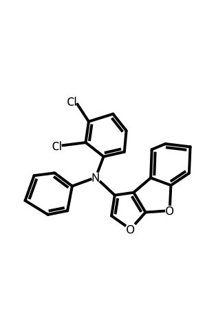 Clc1cccc(N(c2ccccc2)c2coc3oc4ccccc4c23)c1Cl